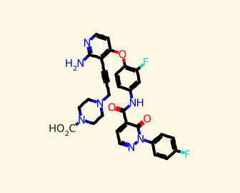 Nc1nccc(Oc2ccc(NC(=O)c3ccnn(-c4ccc(F)cc4)c3=O)cc2F)c1C#CCN1CCN(C(=O)O)CC1